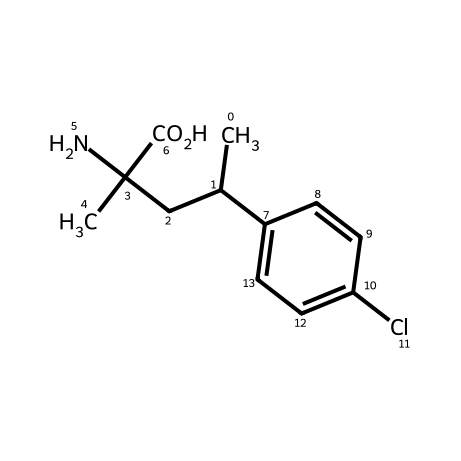 CC(CC(C)(N)C(=O)O)c1ccc(Cl)cc1